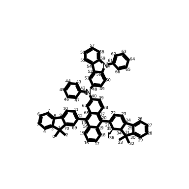 CC1(C)c2ccccc2-c2ccc(-c3c4ccccc4c(C4=CC=C5c6ccccc6C(C)(C)C5[C@H]4I)c4ccc(N(c5ccccc5)c5ccc6c(c5)c5ccccc5n6-c5ccccc5)cc34)cc21